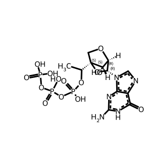 CC(OP(=O)(O)OP(=O)(O)OP(=O)(O)O)[C@@]12CO[C@@H]([C@H](n3cnc4c(=O)[nH]c(N)nc43)O1)[C@@H]2O